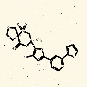 C[C@@]1(c2sc(-c3ccnc(-c4ccco4)c3)cc2Cl)CS(=O)(=O)[C@]2(CCOC2)C(=N)N1